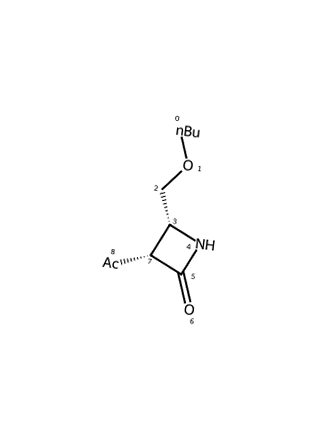 CCCCOC[C@@H]1NC(=O)[C@@H]1C(C)=O